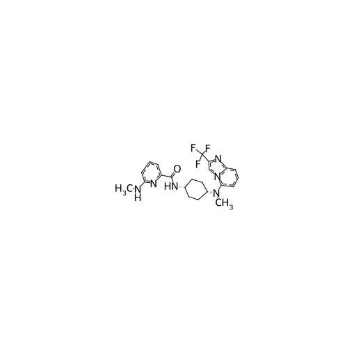 CNc1cccc(C(=O)N[C@H]2CC[C@@H](N(C)c3cccc4nc(C(F)(F)F)cn34)CC2)n1